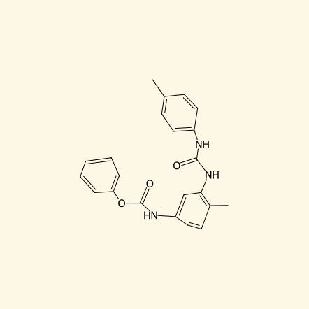 Cc1ccc(NC(=O)Nc2cc(NC(=O)Oc3ccccc3)ccc2C)cc1